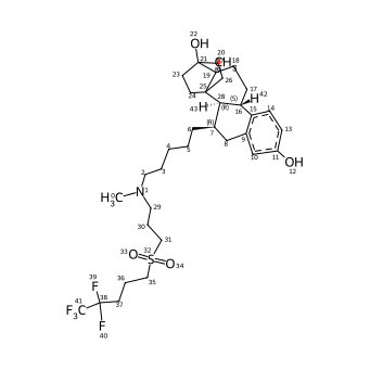 CN(CCCCC[C@@H]1Cc2cc(O)ccc2[C@H]2CC[C@]3(C)C4(O)CCC3(CC4)[C@H]12)CCCS(=O)(=O)CCCC(F)(F)C(F)(F)F